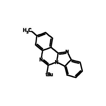 Cc1ccc2c(c1)nc(C(C)(C)C)n1c3ccccc3nc21